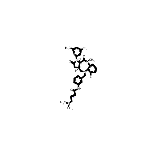 Cc1cc(C(F)(F)F)cc(N2C(=O)C[C@@H]3CN(Cc4cccc(NC(=O)/C=C/CN(C)C)c4)c4c(Cl)cccc4N(C)C(=O)[C@H]32)n1